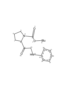 CC(C)(C)OC(=O)N1CCCC1C(=O)CNc1ccccc1